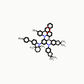 CC1(C)Cc2ccc(N3c4cc5c(cc4B4c6ccc(-c7ccccc7)cc6N(c6ccc(C(C)(C)C)cc6-c6ccccc6)c6cc(N7c8ccc(-c9ccc(C(C)(C)C)cc9)cc8C8(C)CCCCC78C)cc3c64)CC(C)(C)C5)cc2C1